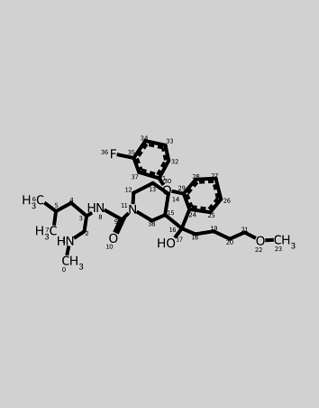 CNCC(CC(C)C)NC(=O)N1CCCC(C(O)(CCCCOC)c2ccccc2Oc2cccc(F)c2)C1